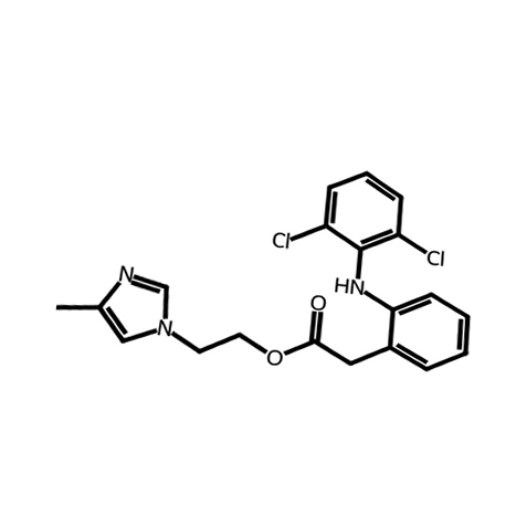 Cc1cn(CCOC(=O)Cc2ccccc2Nc2c(Cl)cccc2Cl)cn1